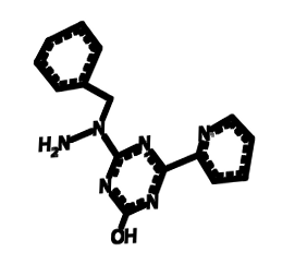 NN(Cc1ccccc1)c1nc(O)nc(-c2ccccn2)n1